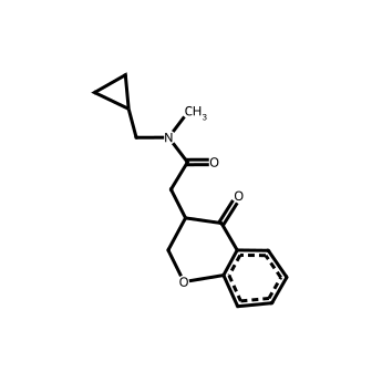 CN(CC1CC1)C(=O)CC1COc2ccccc2C1=O